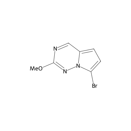 COc1ncc2ccc(Br)n2n1